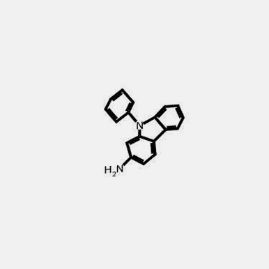 Nc1ccc2c3ccccc3n(-c3ccccc3)c2c1